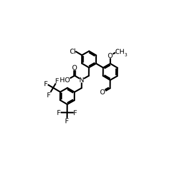 COc1ccc(C=O)cc1-c1ccc(Cl)cc1CN(Cc1cc(C(F)(F)F)cc(C(F)(F)F)c1)C(=O)O